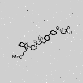 COCCCn1c([C@@H]2CCCN(C(=O)C[C@H](N)Cc3ccc(-c4ccc(C(=O)N5CCNC(=O)C5)cc4)cc3)C2)nc2ccccc21